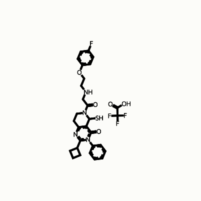 O=C(CNCCOc1ccc(F)cc1)N1CCc2nc(C3CCC3)n(-c3ccccc3)c(=O)c2C1S.O=C(O)C(F)(F)F